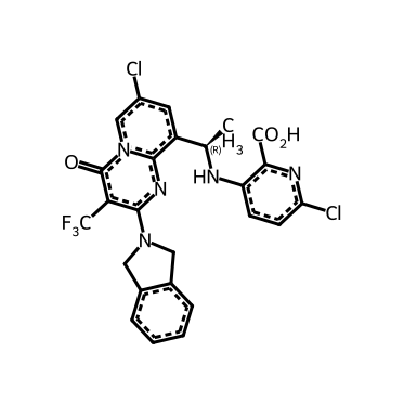 C[C@@H](Nc1ccc(Cl)nc1C(=O)O)c1cc(Cl)cn2c(=O)c(C(F)(F)F)c(N3Cc4ccccc4C3)nc12